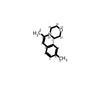 CC(=Cc1ccc(C)cc1)N1CCOCC1